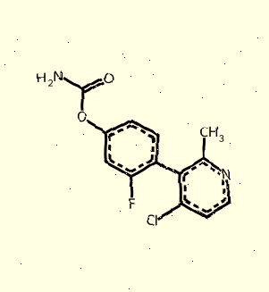 Cc1nccc(Cl)c1-c1ccc(OC(N)=O)cc1F